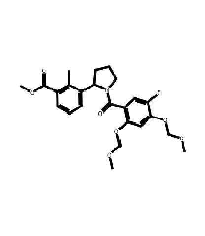 COCOc1cc(OCOC)c(C(=O)N2CCCC2c2cccc(C(=O)OC)c2C)cc1Cl